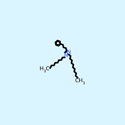 CCCCCCCCCCCCc1nc(CCCc2ccccc2)cn1CCCCCCCCCC